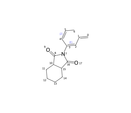 C=C/C=C(\C=C/C)N1C(=O)C2CCCCC2C1=O